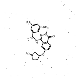 CC(=O)N1CCC(Oc2ccc3c(=O)n(C)nc(N[C@H](C)c4cc(N)cc(C(F)(F)F)c4)c3c2)C1